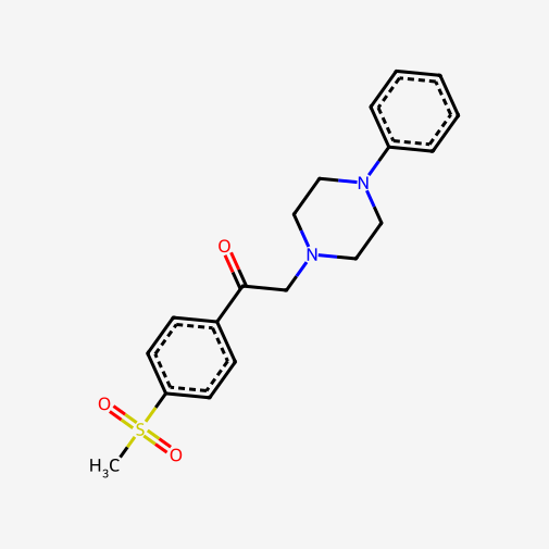 CS(=O)(=O)c1ccc(C(=O)CN2CCN(c3ccccc3)CC2)cc1